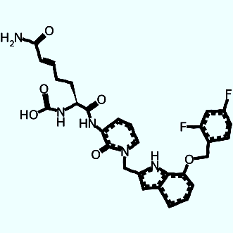 NC(=O)/C=C/CC[C@H](NC(=O)O)C(=O)Nc1cccn(Cc2cc3cccc(OCc4ccc(F)cc4F)c3[nH]2)c1=O